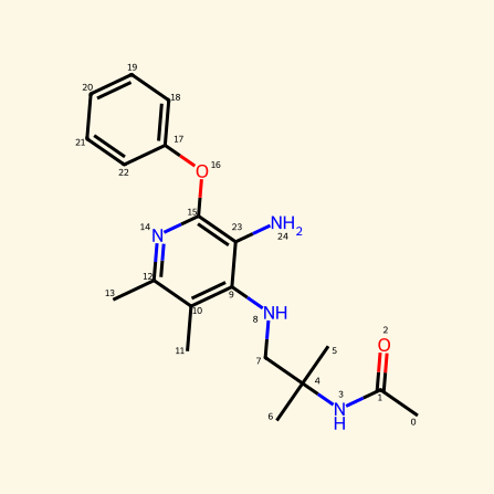 CC(=O)NC(C)(C)CNc1c(C)c(C)nc(Oc2ccccc2)c1N